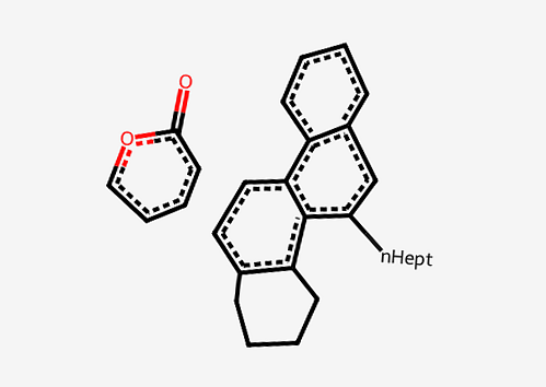 CCCCCCCc1cc2ccccc2c2ccc3c(c12)CCCC3.O=c1cccco1